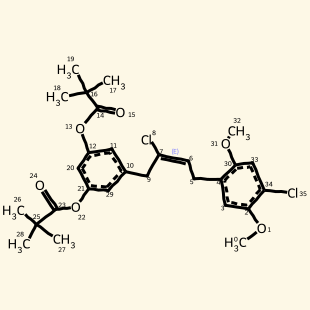 COc1cc(C/C=C(/Cl)Cc2cc(OC(=O)C(C)(C)C)cc(OC(=O)C(C)(C)C)c2)c(OC)cc1Cl